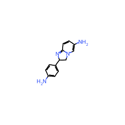 NC1=CN2CC(c3ccc(N)cc3)N=C2C=C1